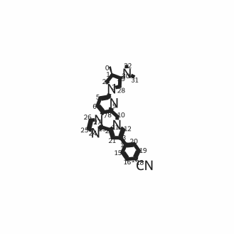 C[C@@H]1CN(c2ccc3c(n2)Cn2cc(-c4ccc(C#N)cc4)cc2-c2nccn2-3)C[C@H]1N(C)C